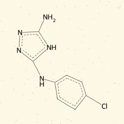 Nc1nnc(Nc2ccc(Cl)cc2)[nH]1